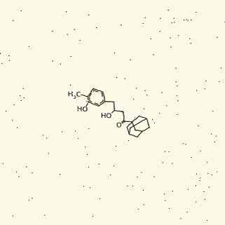 Cc1ccc(CC(O)CC(=O)C23CC4CC(CC(C4)C2)C3)cc1O